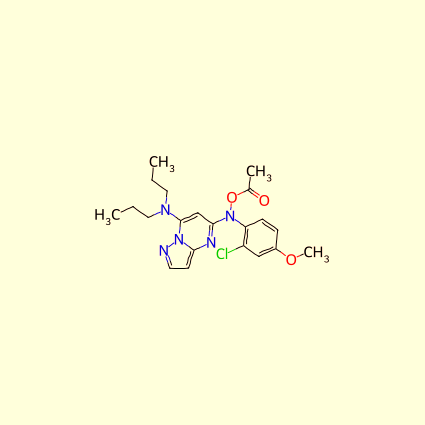 CCCN(CCC)c1cc(N(OC(C)=O)c2ccc(OC)cc2Cl)nc2ccnn12